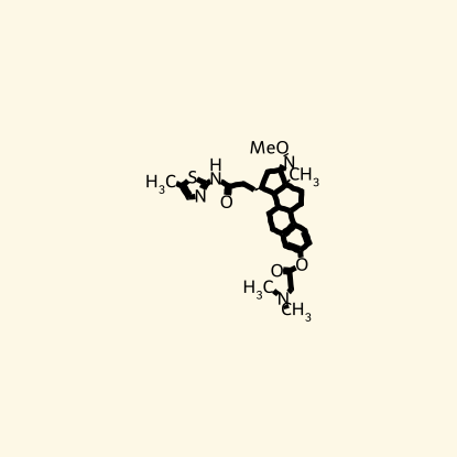 CO/N=C1\C[C@@H](CCC(=O)Nc2ncc(C)s2)C2C3CCc4cc(OC(=O)CN(C)C)ccc4C3CC[C@]12C